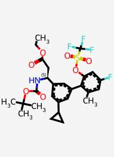 CCOC(=O)C[C@H](NC(=O)OC(C)(C)C)c1cc(-c2c(C)cc(F)cc2OS(=O)(=O)C(F)(F)F)cc(C2CC2)c1